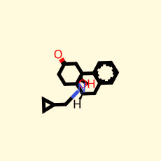 O=C1CCC2(O)[C@H]3Cc4ccccc4[C@@]2(CCN3CC2CC2)C1